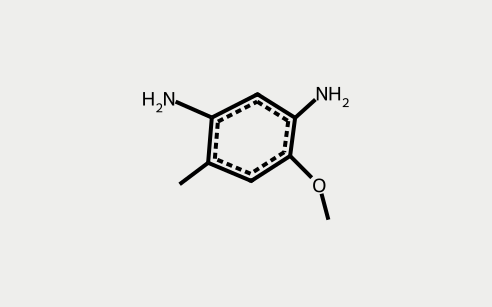 COc1cc(C)c(N)cc1N